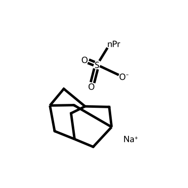 C1C2CC3CC1CC(C2)C3.CCCS(=O)(=O)[O-].[Na+]